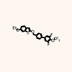 CCOc1ccc2cc(OCc3ccc(-c4cc(F)c(OC(F)(F)F)c(F)c4)cc3)sc2c1